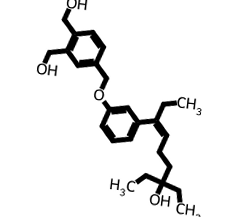 CC/C(=C/CCC(O)(CC)CC)c1cccc(OCc2ccc(CO)c(CO)c2)c1